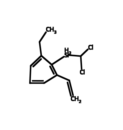 C=Cc1cccc(CC)c1[SiH2]C(Cl)Cl